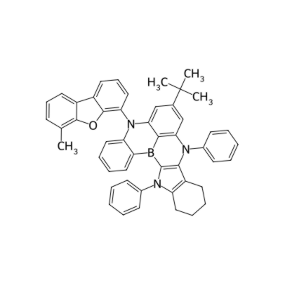 Cc1cccc2c1oc1c(N3c4ccccc4B4c5c(cc(C(C)(C)C)cc53)N(c3ccccc3)c3c5c(n(-c6ccccc6)c34)CCCC5)cccc12